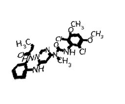 CCC(=O)Nc1ccccc1Nc1cc(N(C)C(=O)Nc2c(Cl)c(OC)cc(OC)c2Cl)ncn1